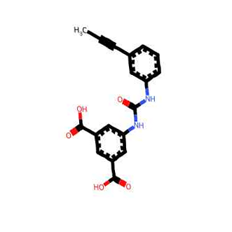 CC#Cc1cccc(NC(=O)Nc2cc(C(=O)O)cc(C(=O)O)c2)c1